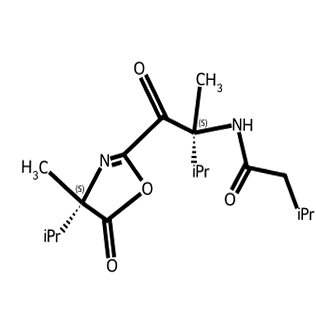 CC(C)CC(=O)N[C@](C)(C(=O)C1=N[C@@](C)(C(C)C)C(=O)O1)C(C)C